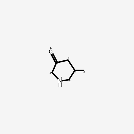 CC1CNCC(=O)C1